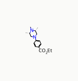 CCOC(=O)c1ccc(N2C[C@@H](C)N(C)[C@@H](C)C2)cc1